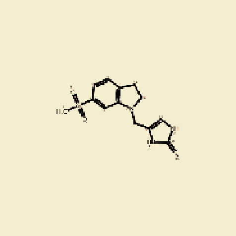 CS(=O)(=O)c1ccc2c(c1)N(Cc1c[nH]c(=S)[nH]1)CC2